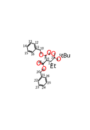 CC[C@@H](C(=O)OC(C)(C)C)C(C(=O)OCc1ccccc1)C(=O)OCc1ccccc1